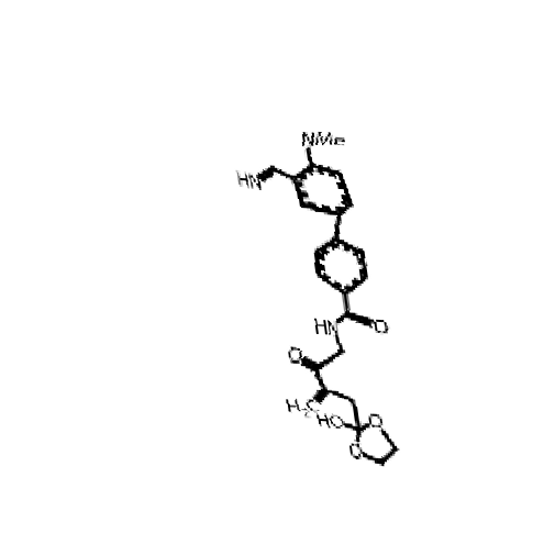 C=C(CC1(O)OCCO1)C(=O)CNC(=O)c1ccc(-c2ccc(NC)c(C=N)c2)cc1